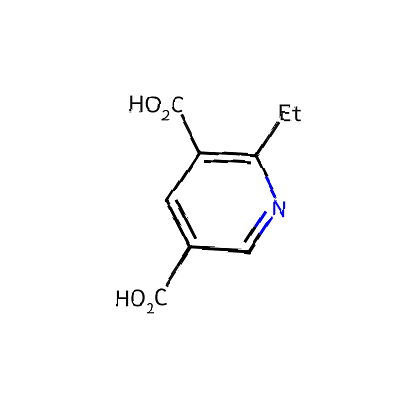 CCc1ncc(C(=O)O)cc1C(=O)O